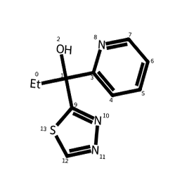 CCC(O)(c1ccccn1)c1nncs1